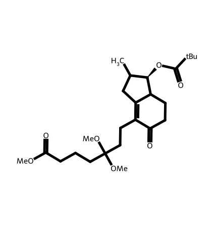 COC(=O)CCCC(CCC1=C2CC(C)[C@@H](OC(=O)C(C)(C)C)C2CCC1=O)(OC)OC